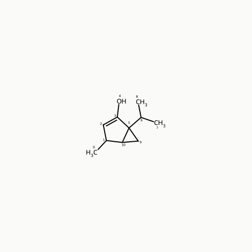 CC1C=C(O)C2(C(C)C)CC12